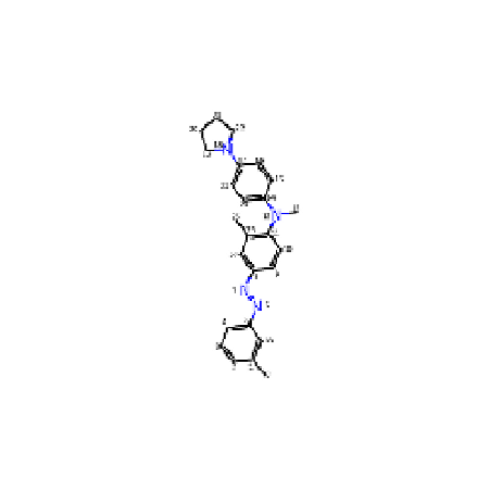 Cc1cccc(/N=N/c2ccc(N(C)c3ccc(N4CCCC4)cc3)c(C)c2)c1